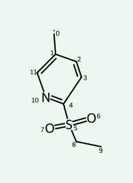 [CH2]c1ccc(S(=O)(=O)CC)nc1